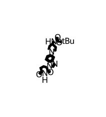 CC(C)(C)OC(=O)NC1CCN(c2ccc3c(c2)ncn3C2CCC(=O)NC2=O)CC1